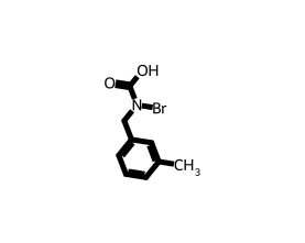 Cc1cccc(CN(Br)C(=O)O)c1